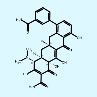 CN(C)[C@H]1C(O)=C(C(N)=O)C(=O)[C@]2(O)C(O)=C3C(=O)c4c(O)ccc(-c5cccc(C(N)=O)c5)c4C[C@@H]3C[C@H]12